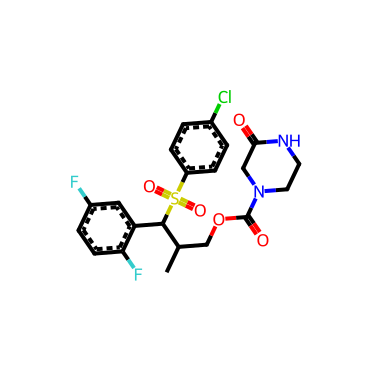 CC(COC(=O)N1CCNC(=O)C1)C(c1cc(F)ccc1F)S(=O)(=O)c1ccc(Cl)cc1